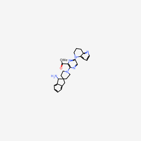 COC(=O)c1nc(N2CCCc3ncccc32)cnc1N1CCC2(CC1)Cc1ccccc1[C@H]2N